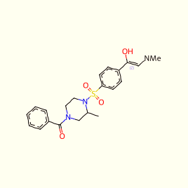 CN/C=C(\O)c1ccc(S(=O)(=O)N2CCN(C(=O)c3ccccc3)CC2C)cc1